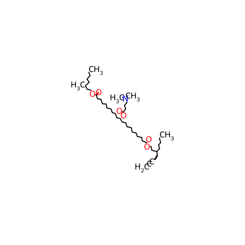 C=C=C=C=CC(CCCCC)CCOC(=O)CCCCCCCCCC(CCCCCCCCCC(=O)OCCC(C)CCCCC)OC(=O)CCCN(C)C